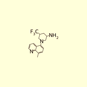 Cc1ccc(N2CC(N)CC(C(F)(F)F)C2)c2cccnc12